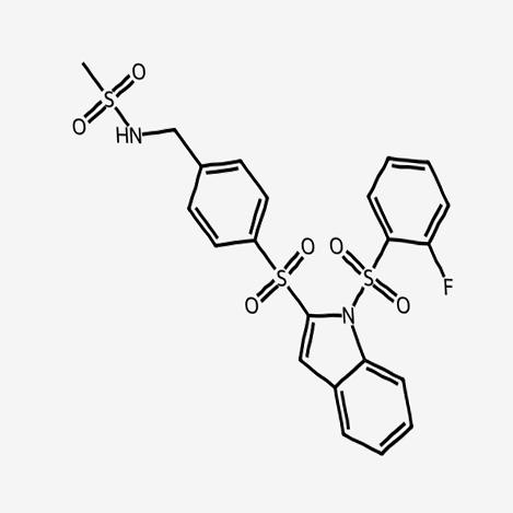 CS(=O)(=O)NCc1ccc(S(=O)(=O)c2cc3ccccc3n2S(=O)(=O)c2ccccc2F)cc1